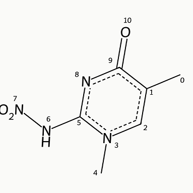 Cc1cn(C)c(N[N+](=O)[O-])nc1=O